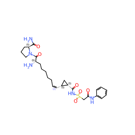 NC(=O)[C@@H]1CCCN1C(=O)[C@@H](N)CCCCC/C=C\[C@@H]1C[C@@H]1C(=O)NS(=O)(=O)CC(=O)Nc1ccccc1